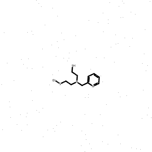 CCSCCN(CCS)Cc1ccccn1